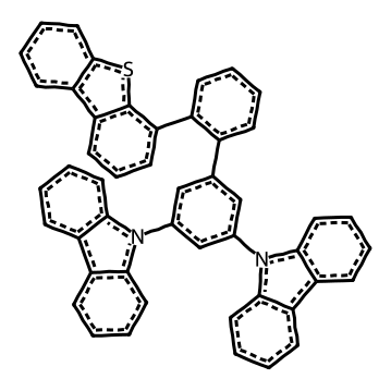 c1ccc(-c2cccc3c2sc2ccccc23)c(-c2cc(-n3c4ccccc4c4ccccc43)cc(-n3c4ccccc4c4ccccc43)c2)c1